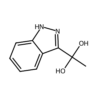 CC(O)(O)c1n[nH]c2ccccc12